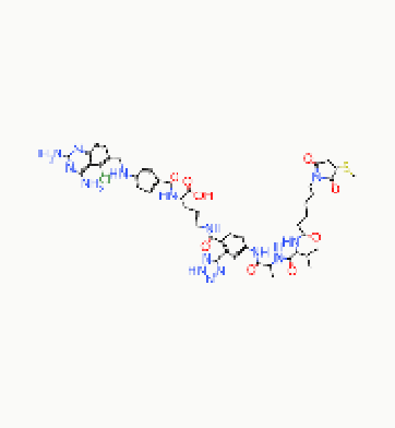 CSC1CC(=O)N(CCCCCC(=O)N[C@H](C(=O)N[C@@H](C)C(=O)Nc2ccc(C(=O)NCCC[C@H](NC(=O)c3ccc(NCc4ccc5nc(N)nc(N)c5c4Cl)cc3)C(=O)O)c(-c3nn[nH]n3)c2)C(C)C)C1=O